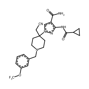 N#CCC1(n2cc(C(N)=O)c(NC(=O)C3CC3)n2)CCN(Cc2cccc(OC(F)(F)F)c2)CC1